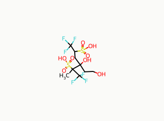 CC(C(F)(F)F)(C(O)(CCO)CC(C(F)(F)F)S(=O)(=O)O)S(=O)(=O)O